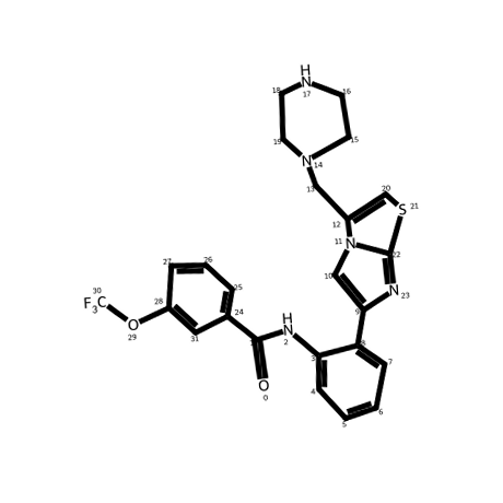 O=C(Nc1ccccc1-c1cn2c(CN3CCNCC3)csc2n1)c1cccc(OC(F)(F)F)c1